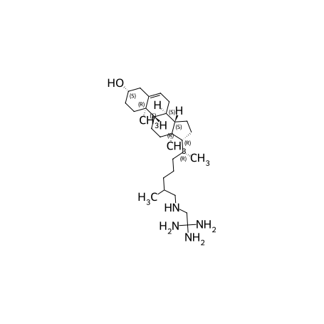 CC(CCC[C@@H](C)[C@H]1CC[C@H]2[C@@H]3CC=C4C[C@@H](O)CC[C@]4(C)[C@H]3CC[C@]12C)CNCC(N)(N)N